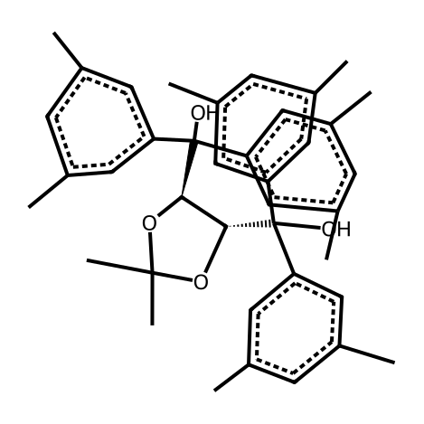 Cc1cc(C)cc(C(O)(c2cc(C)cc(C)c2)[C@@H]2OC(C)(C)O[C@H]2C(O)(c2cc(C)cc(C)c2)c2cc(C)cc(C)c2)c1